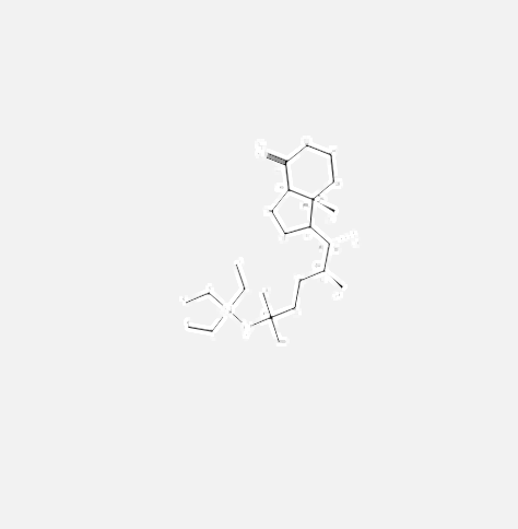 CC[Si](CC)(CC)OC(C)(C)CC[C@H](C)[C@@H](C)C1CCC2C(=O)CCC[C@@]21C